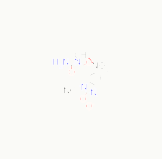 CN(C(N)=O)C(=O)Cc1c([N+](=O)[O-])ccc2c1n(CC#N)c(=O)n2CC1CCCO1